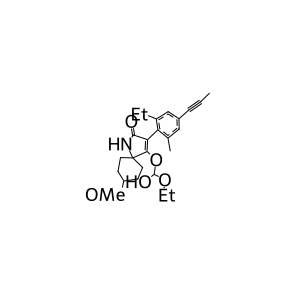 CC#Cc1cc(C)c(C2=C(OC(O)OCC)C3(CCC(OC)CC3)NC2=O)c(CC)c1